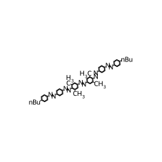 CCCCc1ccc(N=Nc2ccc(N=Nc3c(C)cc(N=Nc4cc(C)c(N=Nc5ccc(N=Nc6ccc(CCCC)cc6)cc5)c(C)c4)cc3C)cc2)cc1